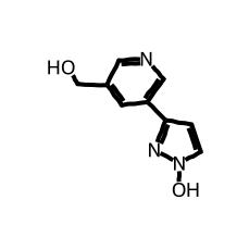 OCc1cncc(-c2ccn(O)n2)c1